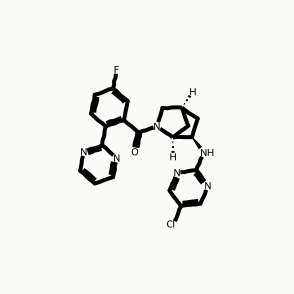 O=C(c1cc(F)ccc1-c1ncccn1)N1C[C@H]2C[C@@H](Nc3ncc(Cl)cn3)[C@@H]1C2